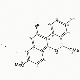 CCCc1cc2cc(OC)ccc2c(OCOC)c1-c1ccc(F)cc1